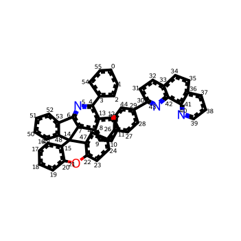 c1ccc(-c2nc3c(c4ccccc24)C2(c4ccccc4Oc4ccc(-c5ccc(-c6ccc7ccc8cccnc8c7n6)cc5)cc42)c2ccccc2-3)cc1